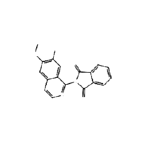 COc1cc2ccnc(N3C(=O)c4ccccc4C3=O)c2cc1Br